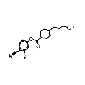 CCCCC1CCC(C(=O)Oc2ccc(C#N)c(F)c2)CC1